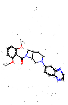 COc1cccc(OC)c1C(=O)N1CC2CCN(c3ccc4nccnc4c3)CC21